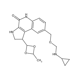 CC1OC(C2CNc3c2c2cc(COCNC4CC4)ccc2[nH]c3=O)O1